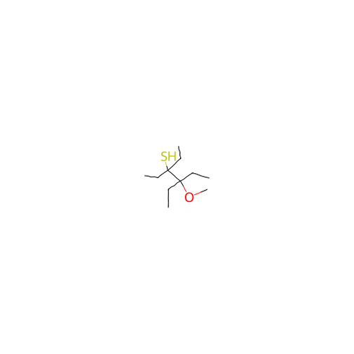 CCC(S)(CC)C(CC)(CC)OC